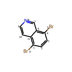 Brc1ccc(Br)c2cnccc12